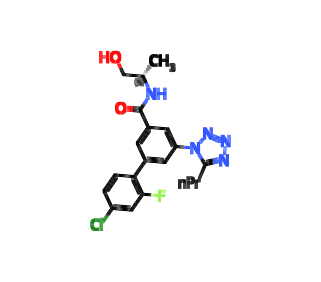 CCCc1nnnn1-c1cc(C(=O)N[C@@H](C)CO)cc(-c2ccc(Cl)cc2F)c1